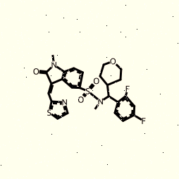 CN1C(=O)/C(=C/c2nccs2)c2cc(S(=O)(=O)N(C)C(c3ccc(F)cc3F)C3CCOCC3)ccc21